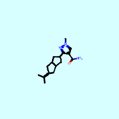 CC(C)=C1CC2CC(c3nn(C)cc3C(N)=O)CC2C1